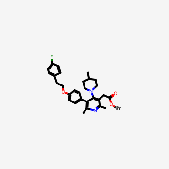 Cc1nc(C)c(-c2ccc(OCCc3ccc(F)cc3)cc2)c(N2CCC(C)CC2)c1CC(=O)OC(C)C